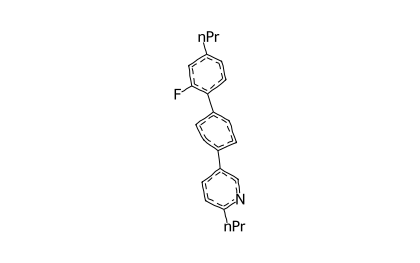 CCCc1ccc(-c2ccc(-c3ccc(CCC)nc3)cc2)c(F)c1